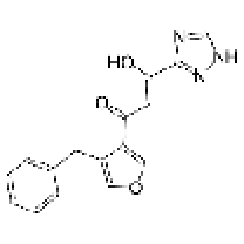 O=C(C=C(O)c1nc[nH]n1)c1cocc1Cc1ccccc1